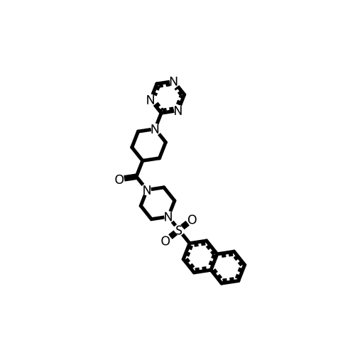 O=C(C1CCN(c2ncncn2)CC1)N1CCN(S(=O)(=O)c2ccc3ccccc3c2)CC1